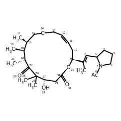 CC(=O)N1CCCC1/C=C(\C)[C@@H]1C/C=C\CCC[C@H](C)[C@H](C)[C@@H](C)C(=O)C(C)(C)[C@@H](O)CC(=O)O1